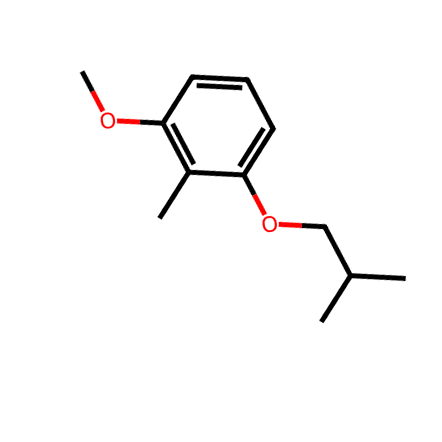 COc1cccc(OCC(C)C)c1C